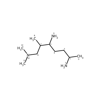 CC(N)CCC(N)C(C)CN(C)C